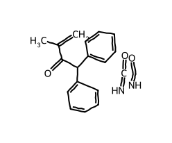 C=C(C)C(=O)C(c1ccccc1)c1ccccc1.N=C=O.N=C=O